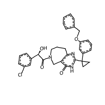 O=C([C@H](O)c1cccc(Cl)c1)N1CCCc2nc(C3(c4cccc(OCc5ccccc5)c4)CC3)[nH]c(=O)c2C1